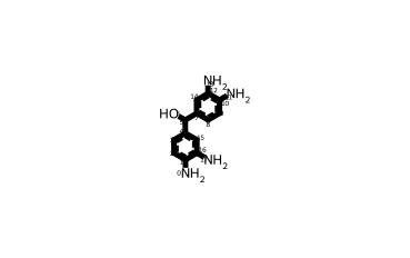 Nc1ccc(C(O)c2ccc(N)c(N)c2)cc1N